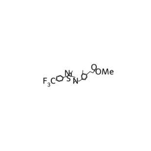 COC(=O)CCc1ccc(CN(C)Cc2sc(-c3ccc(C(F)(F)F)cc3)nc2C)cc1C